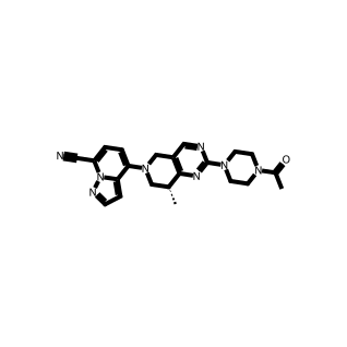 CC(=O)N1CCN(c2ncc3c(n2)[C@H](C)CN(c2ccc(C#N)n4nccc24)C3)CC1